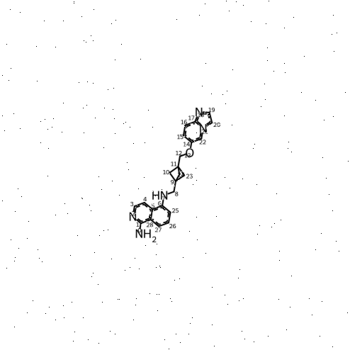 Nc1nccc2c(NCC34CC(COc5ccc6nccn6c5)(C3)C4)cccc12